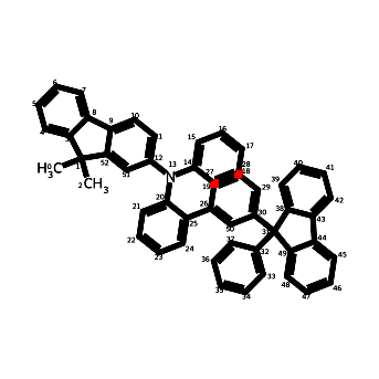 CC1(C)c2ccccc2-c2ccc(N(c3ccccc3)c3ccccc3-c3cccc(C4(c5ccccc5)c5ccccc5-c5ccccc54)c3)cc21